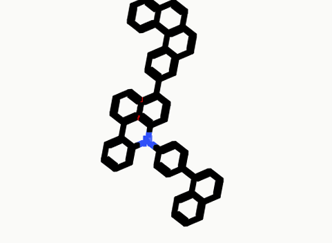 c1ccc(-c2ccccc2N(c2ccc(-c3ccc4c(ccc5ccc6ccccc6c54)c3)cc2)c2ccc(-c3cccc4ccccc34)cc2)cc1